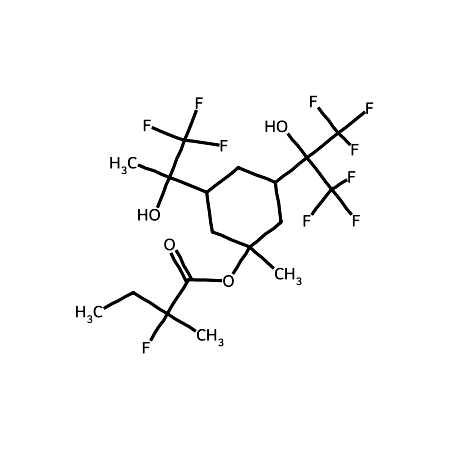 CCC(C)(F)C(=O)OC1(C)CC(C(C)(O)C(F)(F)F)CC(C(O)(C(F)(F)F)C(F)(F)F)C1